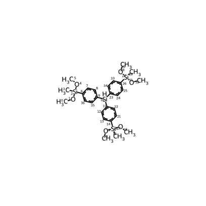 CO[Si](C)(OC)c1ccc([SiH](c2ccc([Si](C)(OC)OC)cc2)c2ccc([Si](C)(OC)OC)cc2)cc1